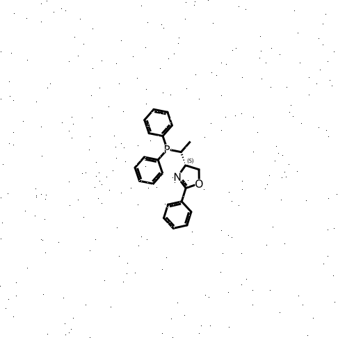 CC([C@@H]1COC(c2ccccc2)=N1)P(c1ccccc1)c1ccccc1